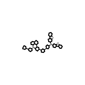 c1ccc(-c2cccc(N3c4ccc(-c5cccc(-c6ccc(N(c7ccc8c(c7)oc7ccccc78)c7ccc8c(c7)oc7ccccc78)cc6)c5)cc4-c4cccc5cccc3c45)c2)cc1